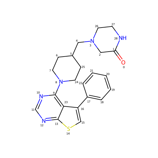 O=C1CN(CC2CCN(c3ncnc4scc(-c5ccccc5)c34)CC2)CCN1